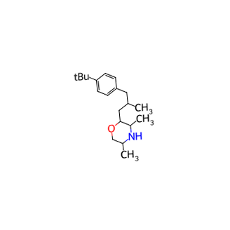 CC(Cc1ccc(C(C)(C)C)cc1)CC1OCC(C)NC1C